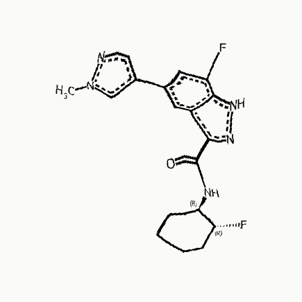 Cn1cc(-c2cc(F)c3[nH]nc(C(=O)N[C@@H]4CCCC[C@H]4F)c3c2)cn1